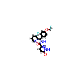 O=C(N[C@@H](c1ccc(OCF)cc1)c1ncccc1F)c1ccc(=O)[nH]n1